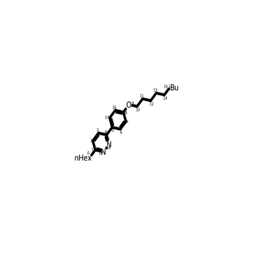 CCCCCCc1ccc(-c2ccc(OCCCCCC(C)CC)cc2)nn1